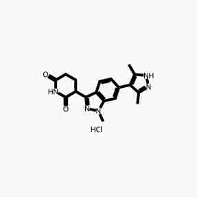 Cc1n[nH]c(C)c1-c1ccc2c(C3CCC(=O)NC3=O)nn(C)c2c1.Cl